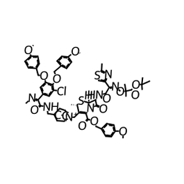 C/N=C(\C(=O)NCC12CC[N+](CC3=C(C(=O)OCc4ccc(OC)cc4)N4C(=O)[C@@H](NC(=O)/C(=N\OC(C)(C)C(=O)OC(C)(C)C)c5csc(C)n5)[C@H]4S[C@H]3C)(CC1)CC2)c1cc(Cl)c(OCc2ccc(OC)cc2)c(OCc2ccc(OC)cc2)c1